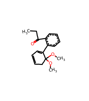 CCC(=O)c1ccccc1C1=CC=CCC1(OC)OC